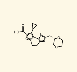 O=C(O)c1oc2c(c1C1CC1)-c1nn(C[C@H]3COCCO3)cc1CC2